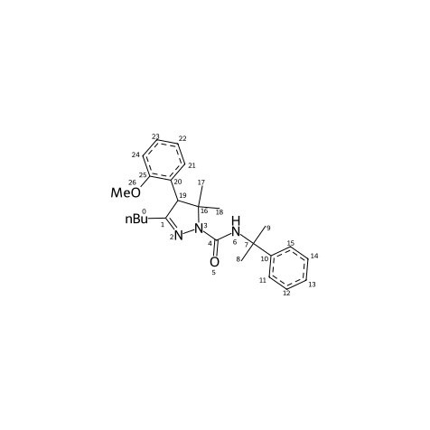 CCCCC1=NN(C(=O)NC(C)(C)c2ccccc2)C(C)(C)C1c1ccccc1OC